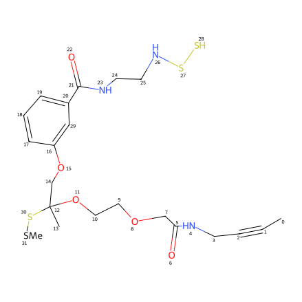 CC#CCNC(=O)COCCOC(C)(COc1cccc(C(=O)NCCNSS)c1)SSC